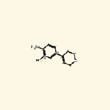 Nc1ccc(C2=CCOCC2)cc1Br